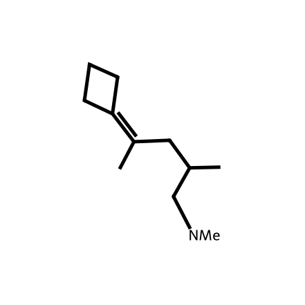 CNCC(C)CC(C)=C1CCC1